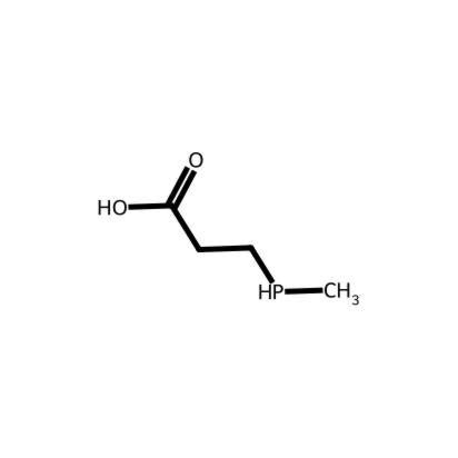 CPCCC(=O)O